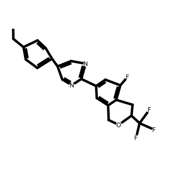 CCc1ccc(-c2cnc(-c3cc(F)c4c(c3)COC(C(F)(F)F)C4)nc2)cc1